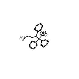 O=C(O)C(c1ccccc1)(c1ccccc1)C(CCP)c1ccccc1